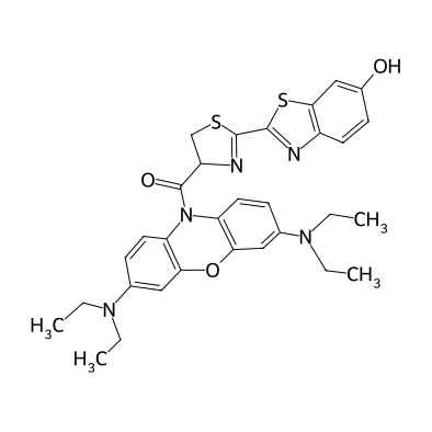 CCN(CC)c1ccc2c(c1)Oc1cc(N(CC)CC)ccc1N2C(=O)C1CSC(c2nc3ccc(O)cc3s2)=N1